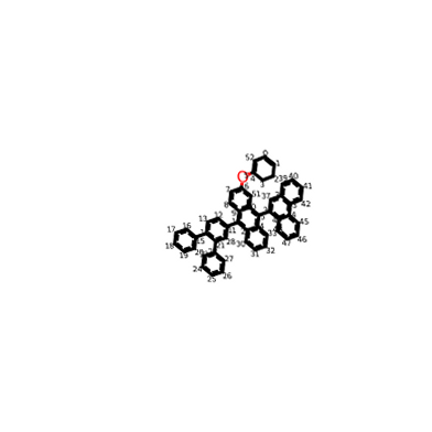 C1=CCCC(Oc2ccc3c(-c4ccc(-c5ccccc5)c(-c5ccccc5)c4)c4ccccc4c(-c4cc5ccccc5c5ccccc45)c3c2)=C1